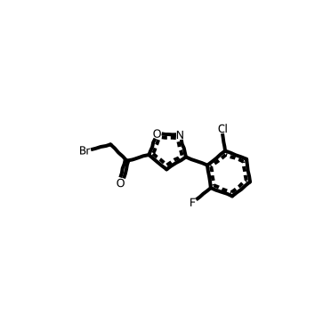 O=C(CBr)c1cc(-c2c(F)cccc2Cl)no1